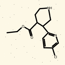 CCOC(=O)C1CCNCC1c1ccc(Cl)cn1